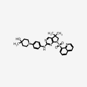 CC1(O)CCN(c2ccc(Nc3ncc4c(n3)N(S(=O)(=O)c3cccc5cccnc35)CC4(C)C)cc2)CC1